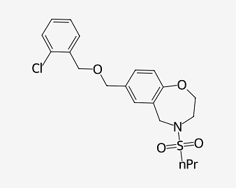 CCCS(=O)(=O)N1CCOc2ccc(COCc3ccccc3Cl)cc2C1